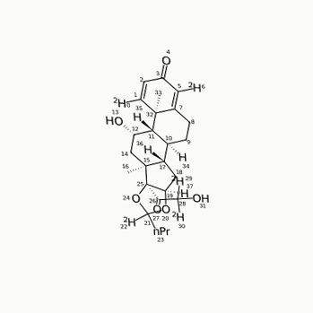 [2H]C1=CC(=O)C([2H])=C2CC[C@@H]3[C@H]([C@@H](O)C[C@@]4(C)[C@H]3C[C@H]3OC([2H])(CCC)O[C@]34C(=O)C([2H])([2H])O)[C@@]12C